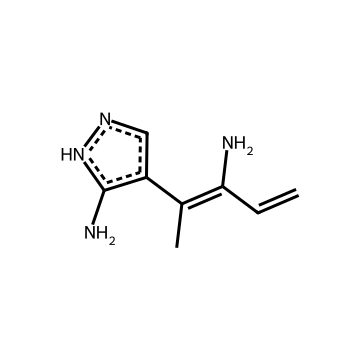 C=C/C(N)=C(\C)c1cn[nH]c1N